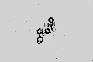 O=C(c1ccc(Oc2ncccc2C2CCCOCC2)cc1)c1nc2ccccc2[nH]1